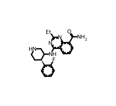 CCc1nc(NC2CNCC[C@@H]2c2ccccc2F)c2cccc(C(N)=O)c2n1